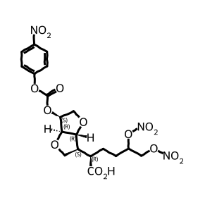 O=C(Oc1ccc([N+](=O)[O-])cc1)O[C@H]1CO[C@@H]2[C@@H]([C@@H](CCC(CO[N+](=O)[O-])O[N+](=O)[O-])C(=O)O)CO[C@H]21